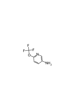 Nc1ccc(OC(F)(F)F)nc1